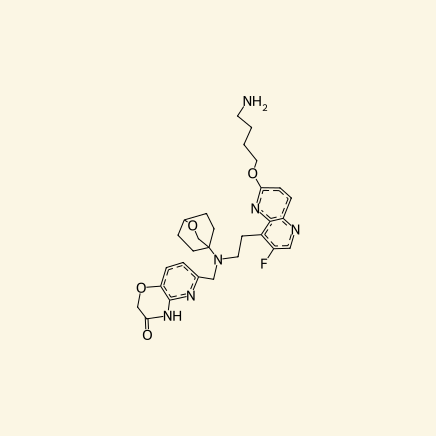 NCCCCOc1ccc2ncc(F)c(CCN(Cc3ccc4c(n3)NC(=O)CO4)C34CCC(CC3)OC4)c2n1